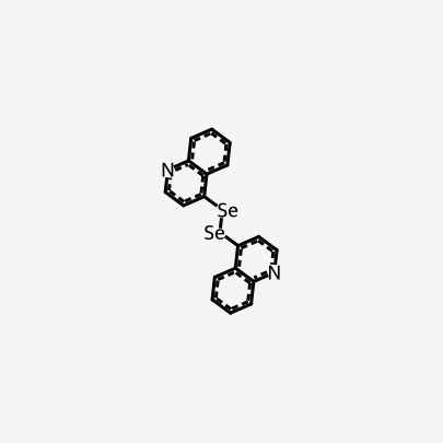 c1ccc2c([Se][Se]c3ccnc4ccccc34)ccnc2c1